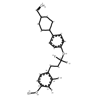 C=CC1CCC(c2ccc(OC(F)(F)CCc3ccc(OCC)c(F)c3F)cc2)CC1